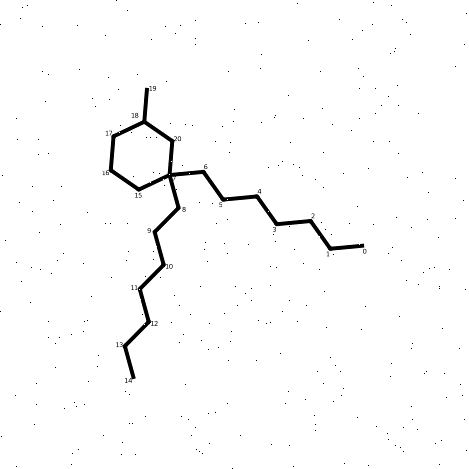 CCCCCCCC1(CCCCCCC)CCCC(C)C1